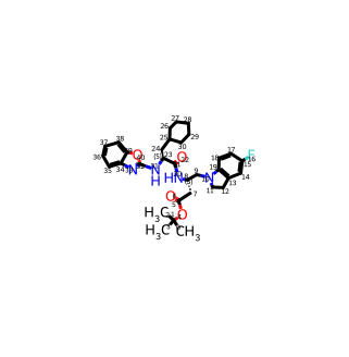 CC(C)(C)OC(=O)C[C@@H](CN1CCc2cc(F)ccc21)NC(=O)[C@H](CC1CCCCC1)Nc1nc2ccccc2o1